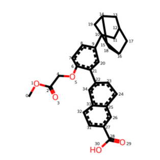 COC(=O)COc1ccc(C23CC4CC(CC(C4)C2)C3)cc1-c1ccc2cc(C(=O)O)ccc2c1